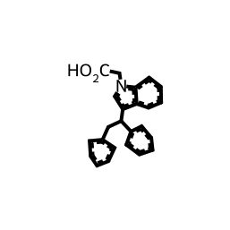 O=C(O)Cn1cc(C(Cc2ccccc2)c2ccccc2)c2ccccc21